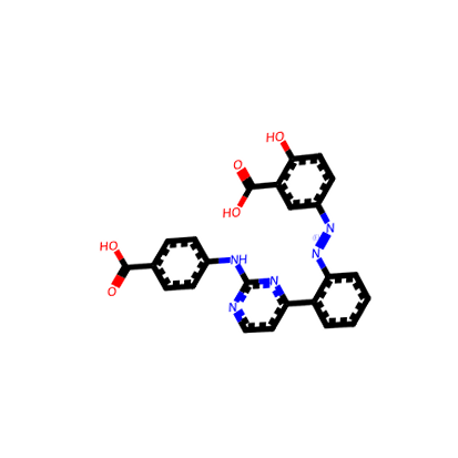 O=C(O)c1ccc(Nc2nccc(-c3ccccc3/N=N/c3ccc(O)c(C(=O)O)c3)n2)cc1